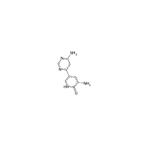 Nc1cc(-c2c[nH]c(=O)c(N)c2)ncn1